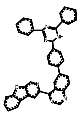 c1ccc(C2=NC(c3ccc(-c4ccc5ncnc(-c6cc7c(cn6)oc6ccccc67)c5c4)cc3)NC(c3ccccc3)=N2)cc1